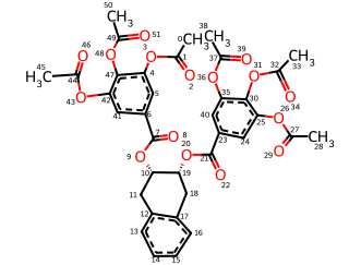 CC(=O)Oc1cc(C(=O)O[C@H]2Cc3ccccc3C[C@H]2OC(=O)c2cc(OC(C)=O)c(OC(C)=O)c(OC(C)=O)c2)cc(OC(C)=O)c1OC(C)=O